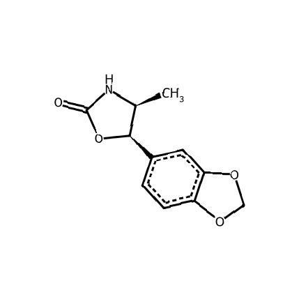 C[C@@H]1NC(=O)O[C@@H]1c1ccc2c(c1)OCO2